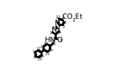 CCOC(=O)c1ccc(-n2cc(C(=O)NCc3ccc(-c4ccccc4)cc3)cn2)nc1